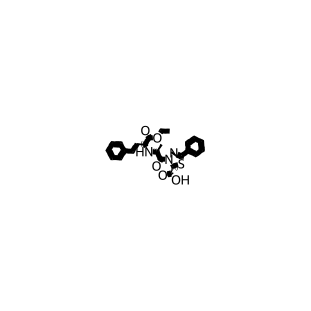 CCOC(=O)[C@H](CCc1ccccc1)N[C@@H](C)C(=O)N1N=C(c2ccccc2)S[C@@H]1C(=O)O